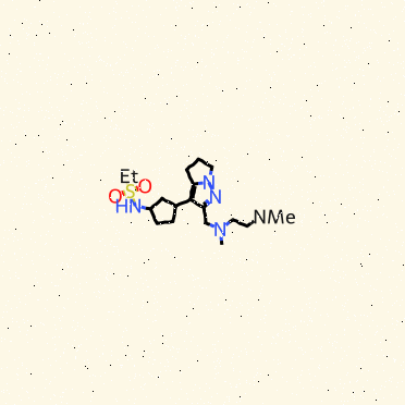 CCS(=O)(=O)NC1CCC(c2c(CN(C)CCNC)nn3c2CCC3)C1